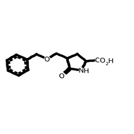 O=C1NC(C(=O)O)CC1COCc1ccccc1